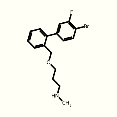 CNCCCOCc1ccccc1-c1ccc(Br)c(F)c1